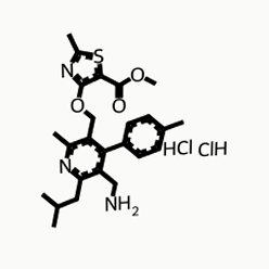 COC(=O)c1sc(C)nc1OCc1c(C)nc(CC(C)C)c(CN)c1-c1ccc(C)cc1.Cl.Cl